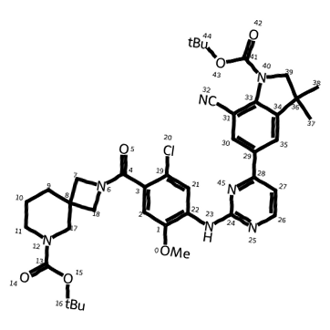 COc1cc(C(=O)N2CC3(CCCN(C(=O)OC(C)(C)C)C3)C2)c(Cl)cc1Nc1nccc(-c2cc(C#N)c3c(c2)C(C)(C)CN3C(=O)OC(C)(C)C)n1